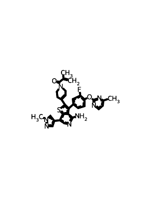 C=C(C)C(=O)N1CC=C(c2sc3c(-c4cnn(C)c4)cnc(N)c3c2-c2ccc(Oc3nccc(C)n3)c(F)c2)CC1